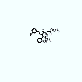 COC(=O)Cn1nc(C)c(-c2ccccc2O)c(CCc2cccc(F)c2)c1=O